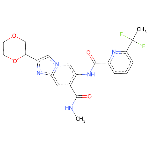 CNC(=O)c1cc2nc(C3COCCO3)cn2cc1NC(=O)c1cccc(C(C)(F)F)n1